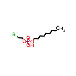 CCCCCCCCCOP(=O)(O)OCCBr